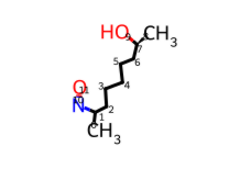 CC(CCCCC[C@H](C)O)N=O